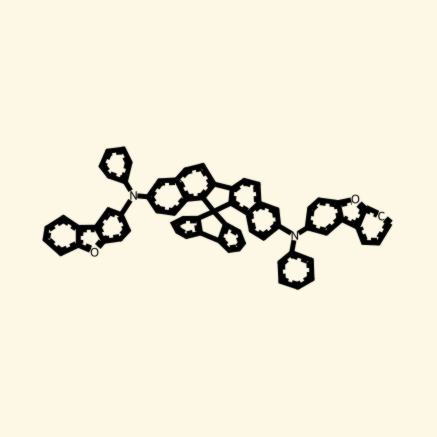 c1ccc(N(c2ccc3c4c(ccc3c2)-c2ccc3cc(N(c5ccccc5)c5ccc6oc7ccccc7c6c5)ccc3c2C42c3ccccc3-c3ccccc32)c2ccc3oc4ccccc4c3c2)cc1